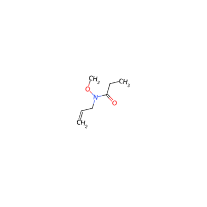 C=CCN(OC)C(=O)CC